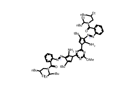 CCCCC(CC)CN(C(=O)c1ccccc1/N=N/C1=C(N)C(c2nc(OC)nc(C3C=C(C(C)(C)C)C(/N=N/c4ccccc4C(=O)N(CC(CC)CCCC)C(CC)CCCC)=C3N)n2)C=C1C(C)(C)C)C(CC)CCCC